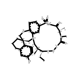 CC[C@H]1COCC(=O)N(C)[C@@H](C)C(=O)NS(=O)(=O)c2ccc3c(c2)N(C[C@@H]1C)C[C@@]1(CCCc2cc(Cl)c#cc21)CO3